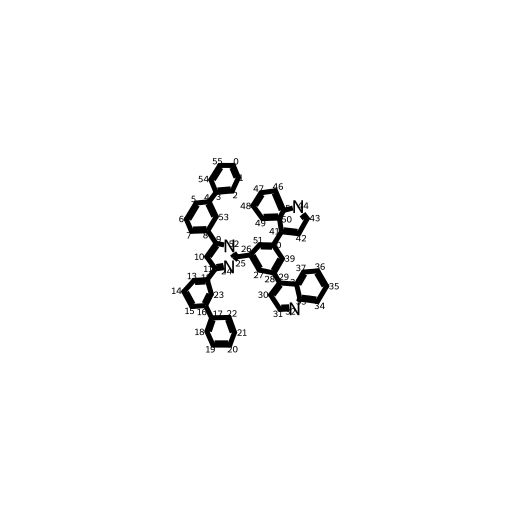 c1ccc(-c2cccc(-c3cc(-c4cccc(-c5ccccc5)c4)nc(-c4cc(-c5ccnc6ccccc56)cc(-c5ccnc6ccccc56)c4)n3)c2)cc1